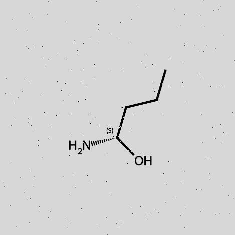 CC[CH][C@@H](N)O